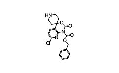 O=C(OCc1ccccc1)N1C(=O)OC2(CCNCC2)c2ccc(Cl)nc21